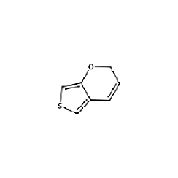 C1=Cc2cscc2OC1